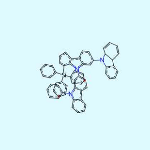 C1=CC2c3ccccc3N(c3ccc4c5cccc([Si](c6ccccc6)(c6ccccc6)c6ccccc6)c5n(-c5ccc6c7ccccc7n(-c7ccccc7)c6c5)c4c3)C2C=C1